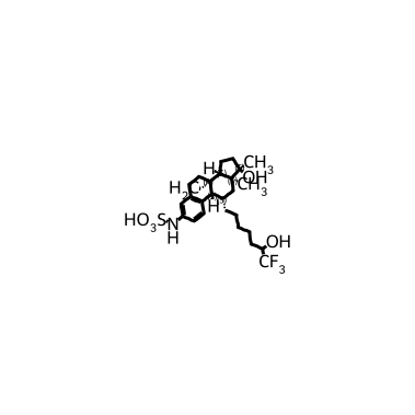 C=C[C@@]12CCc3cc(NS(=O)(=O)O)ccc3[C@H]1[C@@H](CCCCCC(O)C(F)(F)F)C[C@@]1(C)[C@H]2CC[C@]1(C)O